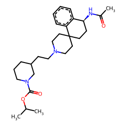 CC(=O)N[C@H]1CCC2(CCN(CCC3CCCN(C(=O)OC(C)C)C3)CC2)c2ccccc21